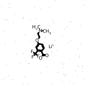 CN(C)CCOc1ccc(C(=O)[O-])c(C(F)(F)F)c1.[Li+]